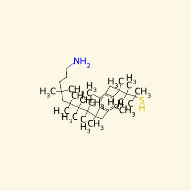 Cc1c2c(c(C)c3c1C(C)(C(C)(C)C(C)(C)S)C3)C(C)(C(C)(C)C(C)(C)C(C)(C)CC(C)(C)CCCN)C2